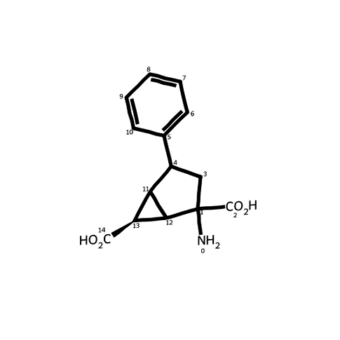 NC1(C(=O)O)CC(c2ccccc2)C2C1[C@H]2C(=O)O